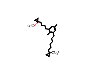 Cc1cc(CCCCCCC2(C(=O)O)CC2)c(C)c(CCCCC2(OC=O)CC2)c1